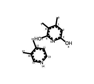 Cc1cc(O)nc(O)c1C.Cc1ccncc1C